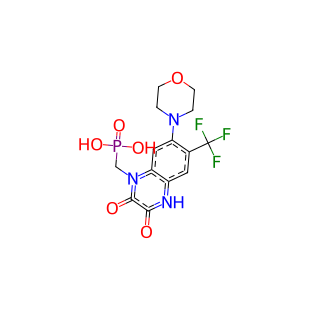 O=c1[nH]c2cc(C(F)(F)F)c(N3CCOCC3)cc2n(CP(=O)(O)O)c1=O